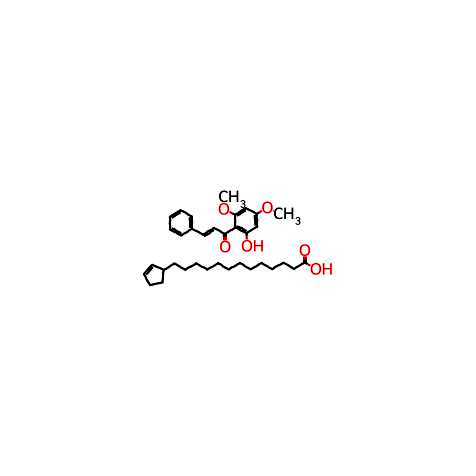 COc1cc(O)c(C(=O)C=Cc2ccccc2)c(OC)c1.O=C(O)CCCCCCCCCCCCC1C=CCC1